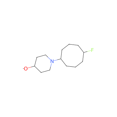 [O]C1CCN(C2CCCC(F)CCC2)CC1